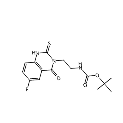 CC(C)(C)OC(=O)NCCn1c(=S)[nH]c2ccc(F)cc2c1=O